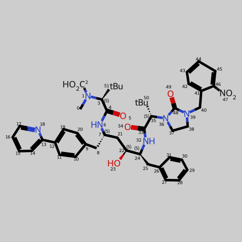 CN(C(=O)O)[C@H](C(=O)N[C@@H](Cc1ccc(-c2ccccn2)cc1)C[C@H](O)[C@H](Cc1ccccc1)NC(=O)[C@@H](N1CCN(Cc2ccccc2[N+](=O)[O-])C1=O)C(C)(C)C)C(C)(C)C